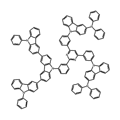 c1ccc(N(c2ccccc2)c2ccc3c(c2)c2ccccc2n3-c2cccc(-c3cc(-c4cccc(-n5c6ccccc6c6cc(N(c7ccccc7)c7ccccc7)ccc65)c4)nc(-c4cccc(-n5c6ccc(-c7ccc8c(c7)c7ccccc7n8-c7ccccc7)cc6c6cc(-c7ccc8c(c7)c7ccccc7n8-c7ccccc7)ccc65)c4)n3)c2)cc1